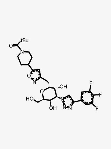 CC(C)(C)C(=O)N1CCC(c2cc(C[C@H]3O[C@H](CO)[C@H](O)[C@H](n4cc(-c5cc(F)c(F)c(F)c5)nn4)[C@H]3O)no2)CC1